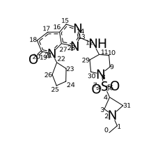 CCN1CC(S(=O)(=O)N2CCC(Nc3ncc4ccc(=O)n(C5CCCC5)c4n3)CC2)C1